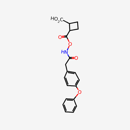 O=C(Cc1ccc(Oc2ccccc2)cc1)NOC(=O)C1CCC1C(=O)O